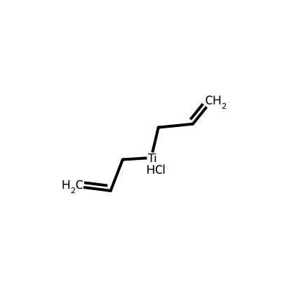 C=C[CH2][Ti][CH2]C=C.Cl